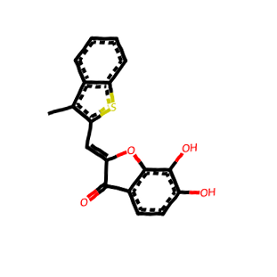 Cc1c(C=C2Oc3c(ccc(O)c3O)C2=O)sc2ccccc12